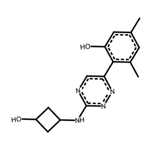 Cc1cc(C)c(-c2cnc(NC3CC(O)C3)nn2)c(O)c1